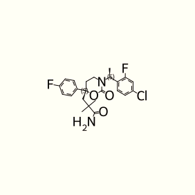 C[C@@H](c1ccc(Cl)cc1F)N1CC[C@@](CC(C)(C)C(N)=O)(c2ccc(F)cc2)OC1=O